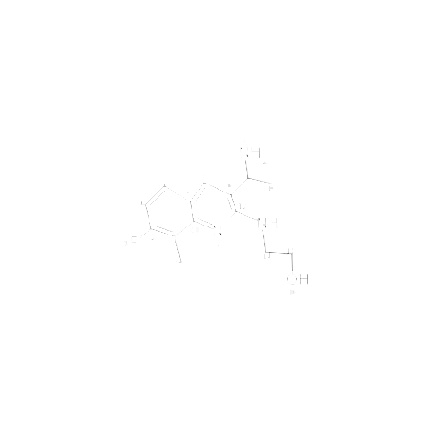 Cc1c(F)ccc2cc(C(C)N)c(NCCO)nc12